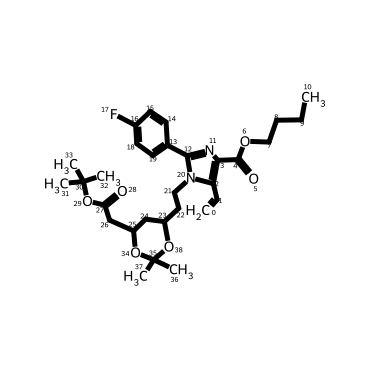 C=Cc1c(C(=O)OCCCC)nc(-c2ccc(F)cc2)n1CCC1CC(CC(=O)OC(C)(C)C)OC(C)(C)O1